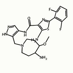 COC1CCN(Cc2[nH]ncc2NC(=O)c2nc(-c3c(F)cccc3F)sc2N)CCC1N